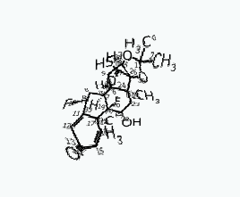 CC1(C)O[C@@H]2C[C@H]3[C@@H]4C[C@H](F)C5=CC(=O)C=C[C@]5(C)[C@@]4(F)[C@@H](O)C[C@]3(C)C2(C(=O)S)O1